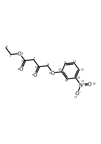 CCOC(=O)CC(=O)COc1cccc([N+](=O)[O-])c1